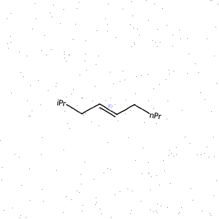 [CH2]C(C)C/C=C/CCCC